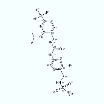 CC(C)Oc1nc(C(F)(F)F)ccc1CNC(=O)Nc1ccc(CNS(N)(=O)=O)c(F)c1